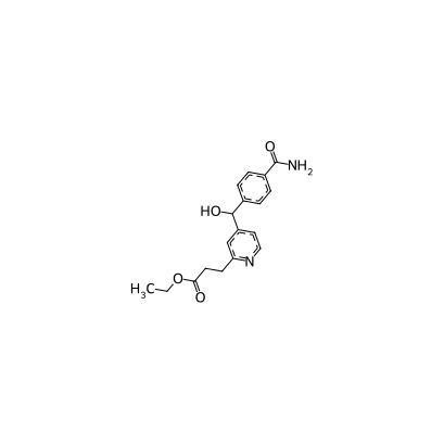 CCOC(=O)CCc1cc(C(O)c2ccc(C(N)=O)cc2)ccn1